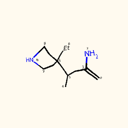 C=C(N)C(C)C1(CC)CNC1